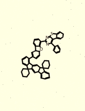 C1=CC2Oc3c(-c4nc(-c5ccccc5)c5c6c(sc5n4)=CCCC=6)cccc3C2C=C1c1cccc2c1C1=CC3C(C=C1C21CCCCC1)c1ccccc1C31CCCCC1